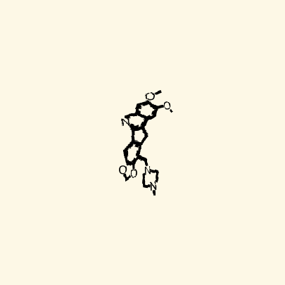 COc1cc2cnc3c(c2cc1OC)Cc1c-3cc2c(c1CN1CCN(C)CC1)OCO2